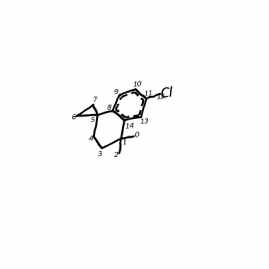 CC1(C)CCC2(CC2)c2ccc(Cl)cc21